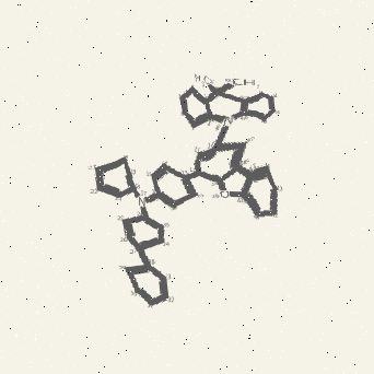 CC1(C)c2ccccc2N(c2cc(-c3ccc(N(c4ccccc4)c4ccc(-c5ccccc5)cc4)cc3)c3oc4ccccc4c3c2)c2ccccc21